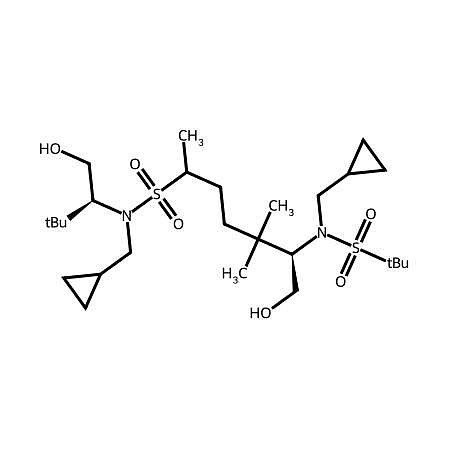 CC(CCC(C)(C)[C@H](CO)N(CC1CC1)S(=O)(=O)C(C)(C)C)S(=O)(=O)N(CC1CC1)[C@H](CO)C(C)(C)C